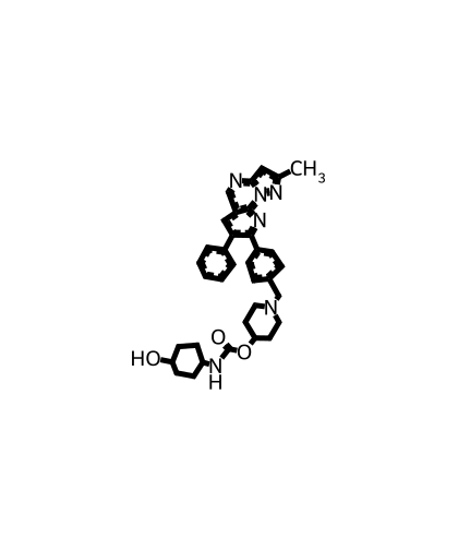 Cc1cc2ncc3cc(-c4ccccc4)c(-c4ccc(CN5CCC(OC(=O)NC6CCC(O)CC6)CC5)cc4)nc3n2n1